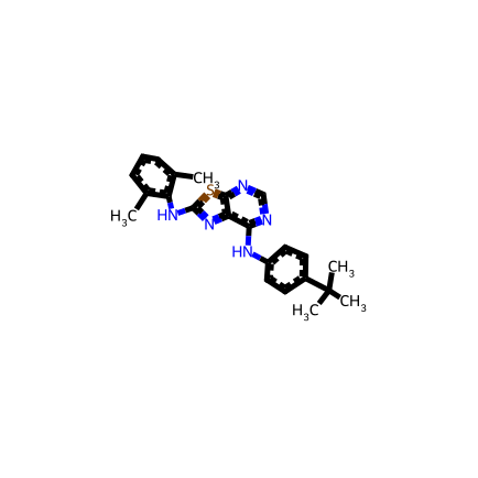 Cc1cccc(C)c1Nc1nc2c(Nc3ccc(C(C)(C)C)cc3)ncnc2s1